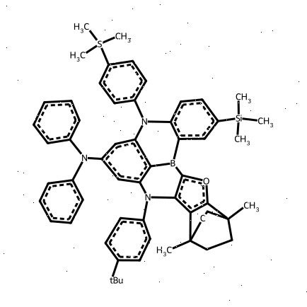 CC(C)(C)c1ccc(N2c3cc(N(c4ccccc4)c4ccccc4)cc4c3B(c3cc([Si](C)(C)C)ccc3N4c3ccc(S(C)(C)C)cc3)c3oc4c(c32)C2(C)CCC4(C)CC2)cc1